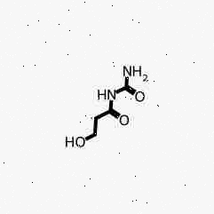 NC(=O)NC(=O)[CH]CO